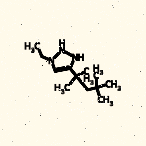 CCN1C=C(C(C)(C)CC(C)(C)C)NN1